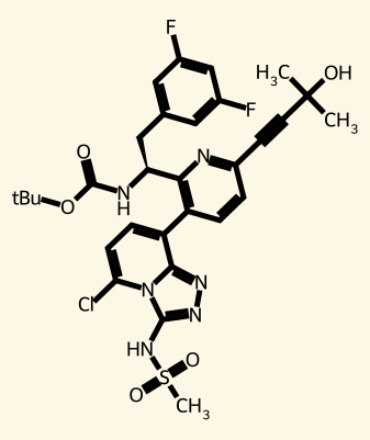 CC(C)(O)C#Cc1ccc(-c2ccc(Cl)n3c(NS(C)(=O)=O)nnc23)c([C@H](Cc2cc(F)cc(F)c2)NC(=O)OC(C)(C)C)n1